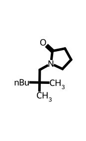 CCCCC(C)(C)CN1CCCC1=O